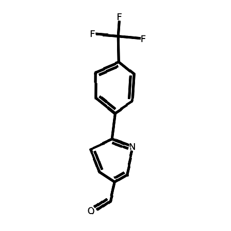 O=Cc1ccc(-c2ccc(C(F)(F)F)cc2)nc1